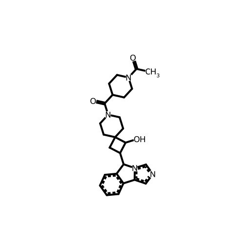 CC(=O)N1CCC(C(=O)N2CCC3(CC2)CC(C2c4ccccc4-c4cncn42)C3O)CC1